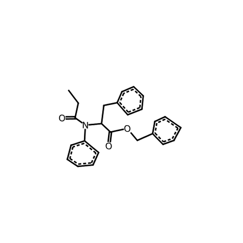 CCC(=O)N(c1ccccc1)C(Cc1ccccc1)C(=O)OCc1ccccc1